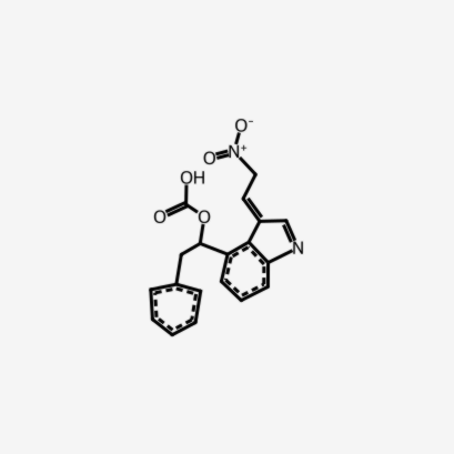 O=C(O)OC(Cc1ccccc1)c1cccc2c1C(=CC[N+](=O)[O-])C=N2